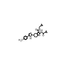 Cc1ccc(-c2cnc(C3CCc4sc(NC(=O)C5CC5)c(C(=O)NCC5CC5)c4C3)[nH]2)cc1